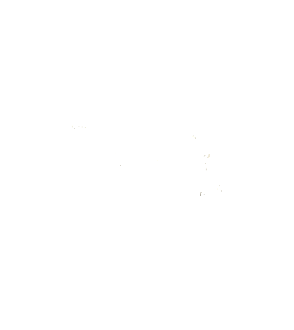 Cn1cc(Nc2ncc(Cl)c(NCc3cccn3C(=O)CCC#N)n2)cn1